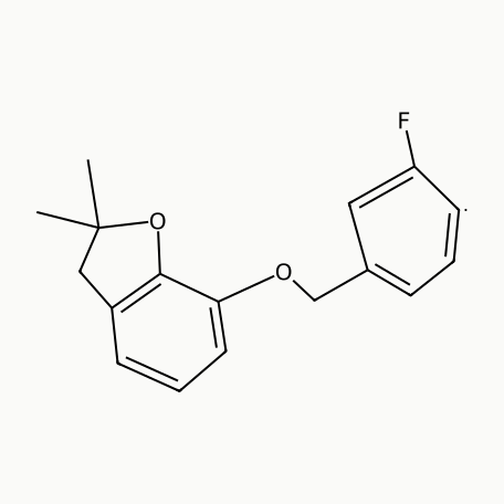 CC1(C)Cc2cccc(OCc3cc[c]c(F)c3)c2O1